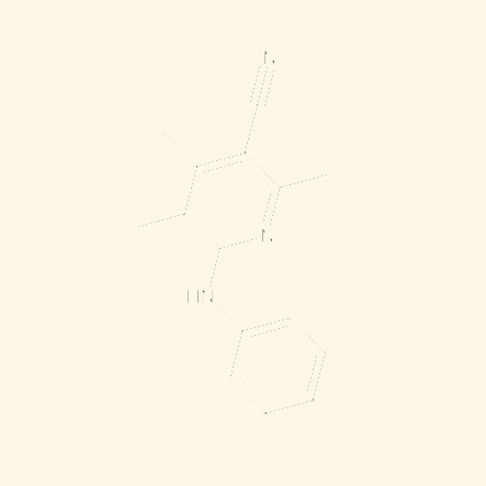 Cc1ccc(Nc2nc(C)c(C#N)c(C)c2C)cc1